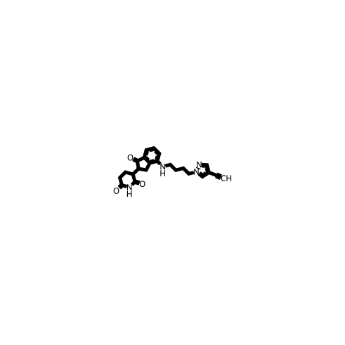 C#Cc1cnn(CCCCNc2cccc3c2CC(C2CCC(=O)NC2=O)C3=O)c1